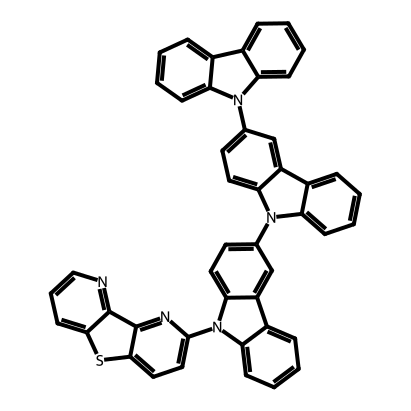 c1cnc2c(c1)sc1ccc(-n3c4ccccc4c4cc(-n5c6ccccc6c6cc(-n7c8ccccc8c8ccccc87)ccc65)ccc43)nc12